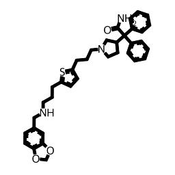 NC(=O)C(c1ccccc1)(c1ccccc1)C1CCN(CCCc2ccc(CCCNCc3ccc4c(c3)OCO4)s2)C1